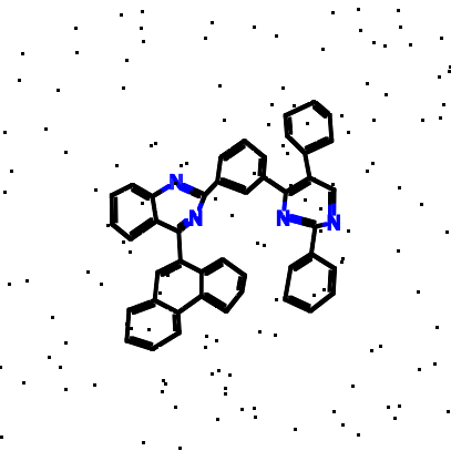 c1ccc(-c2ncc(-c3ccccc3)c(-c3cccc(-c4nc(-c5cc6ccccc6c6ccccc56)c5ccccc5n4)c3)n2)cc1